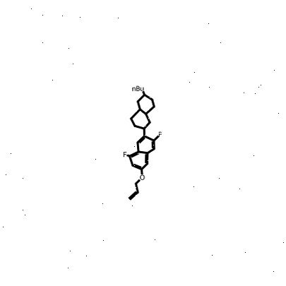 C=CCOc1cc(F)c2cc(C3CCC4CC(CCCC)CCC4C3)c(F)cc2c1